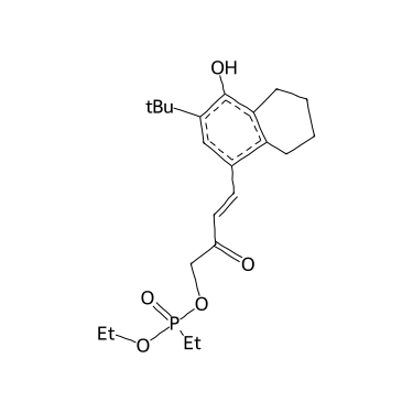 CCOP(=O)(CC)OCC(=O)C=Cc1cc(C(C)(C)C)c(O)c2c1CCCC2